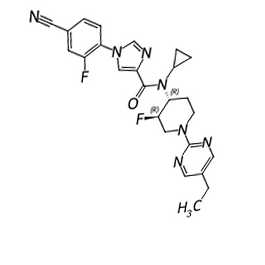 CCc1cnc(N2CC[C@@H](N(C(=O)c3cn(-c4ccc(C#N)cc4F)cn3)C3CC3)[C@H](F)C2)nc1